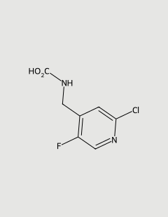 O=C(O)NCc1cc(Cl)ncc1F